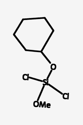 CO[Si](Cl)(Cl)OC1CCCCC1